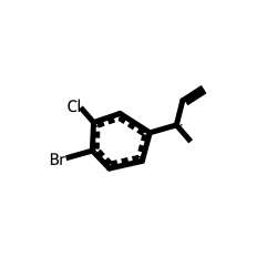 C=C[C](C)c1ccc(Br)c(Cl)c1